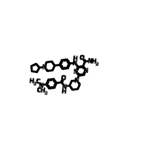 CN(C)c1ccc(C(=O)N[C@@H]2CCCN(c3cnc(C(N)=O)c(Nc4ccc(C5CCN(C6CCCC6)CC5)cc4)n3)C2)cc1